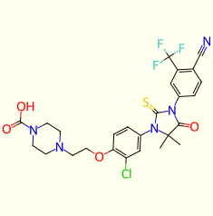 CC1(C)C(=O)N(c2ccc(C#N)c(C(F)(F)F)c2)C(=S)N1c1ccc(OCCN2CCN(C(=O)O)CC2)c(Cl)c1